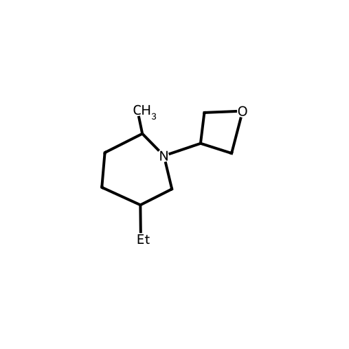 CCC1CCC(C)N(C2COC2)C1